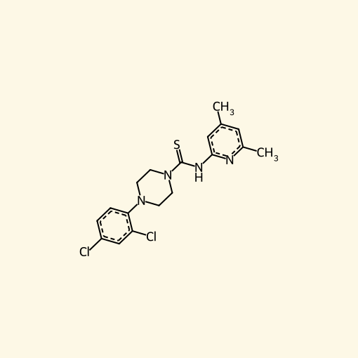 Cc1cc(C)nc(NC(=S)N2CCN(c3ccc(Cl)cc3Cl)CC2)c1